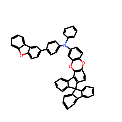 c1ccc(N(c2ccc(-c3ccc4oc5ccccc5c4c3)cc2)c2ccc3c(c2)Oc2c(ccc4c2-c2ccccc2C42c4ccccc4-c4ccccc42)O3)cc1